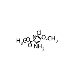 CCOc1cc(N)c(C(=O)OC)nc1Cl